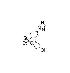 CCS(=O)(=O)c1ccc(-n2cncn2)nc1-n1cc(O)cn1